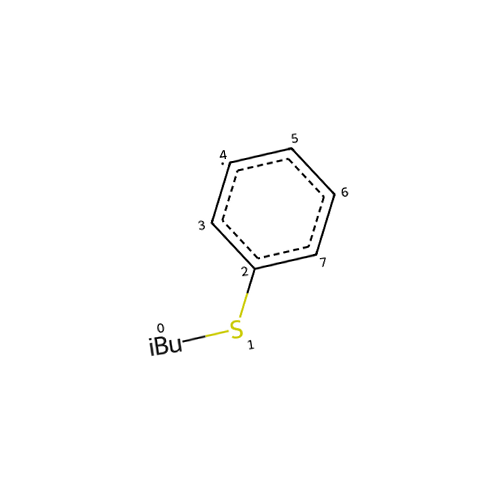 CCC(C)Sc1c[c]ccc1